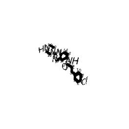 O=C(CCc1ccc(Cl)cc1)Nc1ccc2nc(N3CCNCC3)ncc2c1